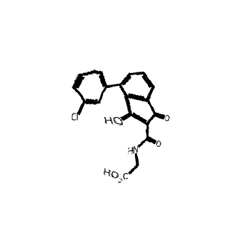 O=C(O)CNC(=O)C1=C(O)c2c(cccc2-c2cccc(Cl)c2)C1=O